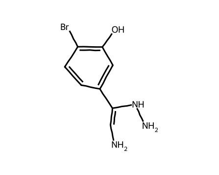 N/C=C(\NN)c1ccc(Br)c(O)c1